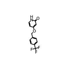 O=c1cc(OCc2ccc(C(F)(F)F)cc2)cc[nH]1